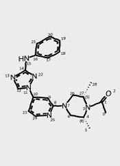 CC(=O)N1[C@H](C)CN(c2cc(-n3cnc(Nc4ccccc4)n3)ccn2)C[C@@H]1C